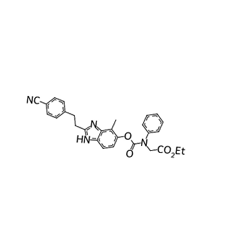 CCOC(=O)CN(C(=O)Oc1ccc2[nH]c(CCc3ccc(C#N)cc3)nc2c1C)c1ccccc1